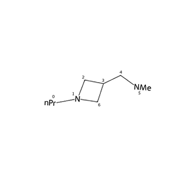 CCCN1CC(CNC)C1